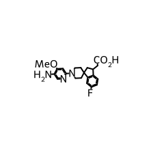 COc1cc(N2CCC3(CC2)CC(CC(=O)O)c2ccc(F)cc23)ncc1N